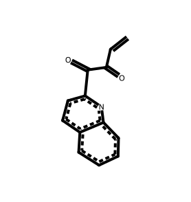 C=CC(=O)C(=O)c1ccc2ccccc2n1